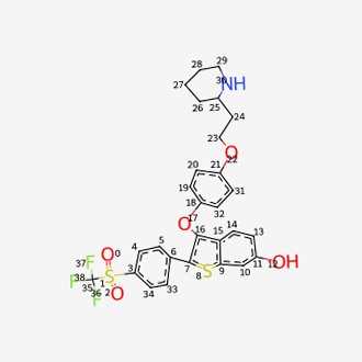 O=S(=O)(c1ccc(-c2sc3cc(O)ccc3c2Oc2ccc(OCCC3CCCCN3)cc2)cc1)C(F)(F)F